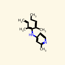 C=C/C(C)=C(Nc1ccnc(C)c1)\C(C)=C/CC